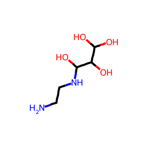 NCCNC(O)C(O)C(O)O